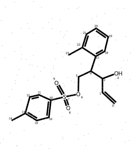 C=CC(O)C(COS(=O)(=O)c1ccc(C)cc1)c1ccccc1C